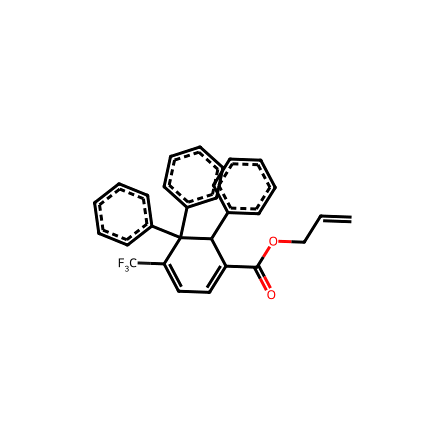 C=CCOC(=O)C1=CC=C(C(F)(F)F)C(c2ccccc2)(c2ccccc2)C1c1ccccc1